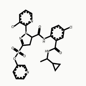 CC(NC(=O)c1cc(Cl)ccc1NC(=O)C1CC(S(=O)(=O)Oc2cccnc2)=NN1c1ncccc1Cl)C1CC1